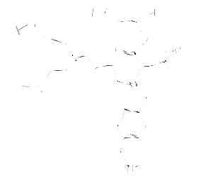 CCCN(CCC)CCCCN(Cc1ccc(CN)cc1)C(C(=O)O)C(=O)OC(C)CC